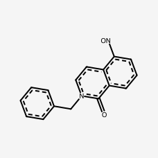 O=Nc1cccc2c(=O)n(Cc3ccccc3)ccc12